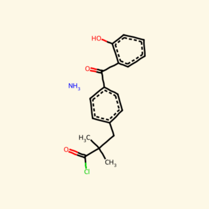 CC(C)(Cc1ccc(C(=O)c2ccccc2O)cc1)C(=O)Cl.N